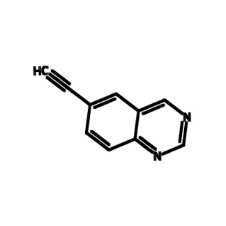 C#Cc1ccc2ncncc2c1